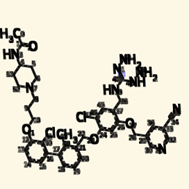 CC(=O)NC1CCN(CCCOc2cccc(-c3cccc(COc4cc(OCc5cncc(C#N)c5)c(CN/C(=N/N)NN)cc4Cl)c3C)c2Cl)CC1